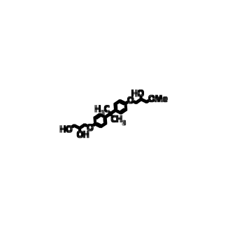 COCC(O)COc1ccc(C(C)(C)c2ccc(OCC(O)CO)cc2)cc1